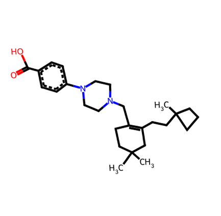 CC1(C)CCC(CN2CCN(c3ccc(C(=O)O)cc3)CC2)=C(CCC2(C)CCC2)C1